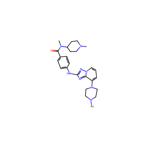 CC(=O)N1CCN(c2cccn3nc(Nc4ccc(C(=O)N(C)C5CCN(C)CC5)cc4)nc23)CC1